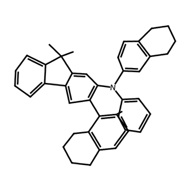 Cc1ccc2c(c1-c1cc3c(cc1N(c1ccccc1)c1ccc4c(c1)CCCC4)C(C)(C)c1ccccc1-3)CCCC2